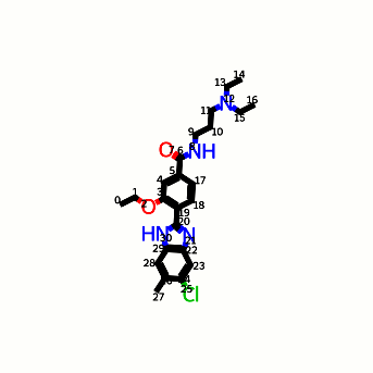 CCOc1cc(C(=O)NCCCN(CC)CC)ccc1-c1nc2cc(Cl)c(C)cc2[nH]1